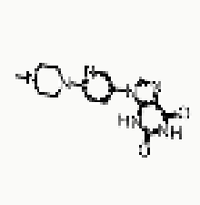 CN1CCN(c2ccc(-n3cnc4c(=O)[nH]c(=O)[nH]c43)cn2)CC1